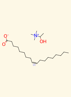 CC(O)[N+](C)(C)C.CCCCCCCC/C=C\CCCCCCCC(=O)[O-]